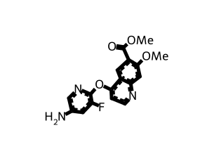 COC(=O)c1cc2c(Oc3ncc(N)cc3F)ccnc2cc1OC